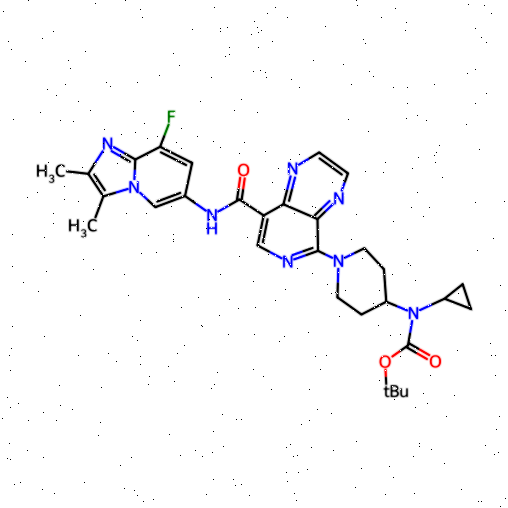 Cc1nc2c(F)cc(NC(=O)c3cnc(N4CCC(N(C(=O)OC(C)(C)C)C5CC5)CC4)c4nccnc34)cn2c1C